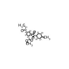 CCC(=O)c1cc(C(=O)OC)n(S(=O)(=O)c2ccc(C)cc2)c1